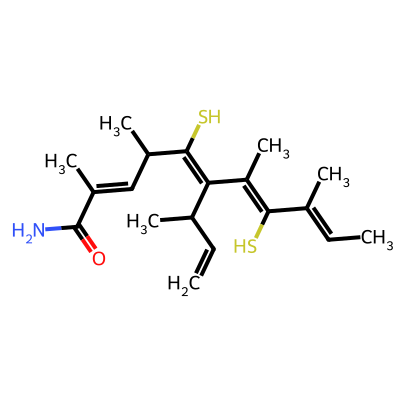 C=CC(C)C(/C(C)=C(S)/C(C)=C/C)=C(/S)C(C)/C=C(\C)C(N)=O